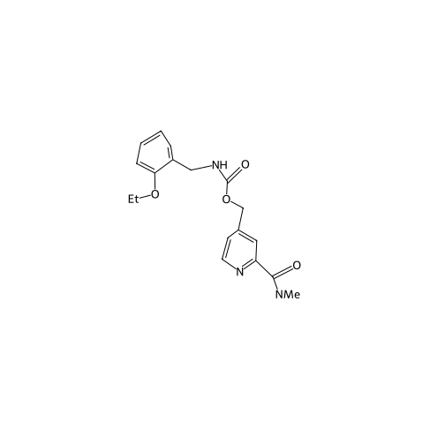 CCOc1ccccc1CNC(=O)OCc1ccnc(C(=O)NC)c1